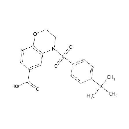 CC(C)(C)c1ccc(S(=O)(=O)N2CCOc3ncc(C(=O)O)cc32)cc1